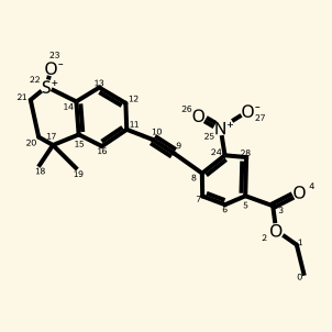 CCOC(=O)c1ccc(C#Cc2ccc3c(c2)C(C)(C)CC[S+]3[O-])c([N+](=O)[O-])c1